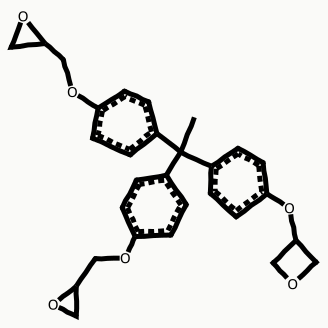 CC(c1ccc(OCC2CO2)cc1)(c1ccc(OCC2CO2)cc1)c1ccc(OC2COC2)cc1